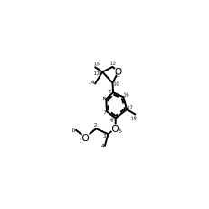 COCC(C)Oc1ccc(C2OCC2(C)C)cc1C